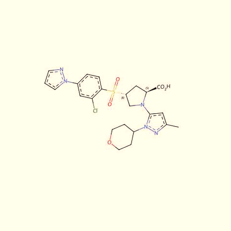 Cc1cc(N2C[C@H](S(=O)(=O)c3ccc(-n4cccn4)cc3Cl)C[C@H]2C(=O)O)n(C2CCOCC2)n1